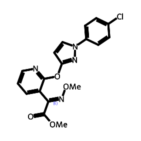 CO/N=C(/C(=O)OC)c1cccnc1Oc1ccn(-c2ccc(Cl)cc2)n1